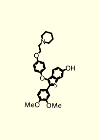 COc1ccc(-c2sc3cc(O)ccc3c2Oc2ccc(OCCN3CCCCC3)cc2)cc1OC